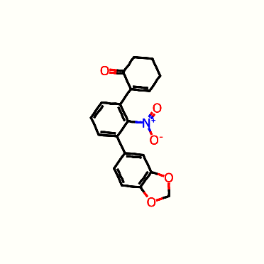 O=C1CCCC=C1c1cccc(-c2ccc3c(c2)OCO3)c1[N+](=O)[O-]